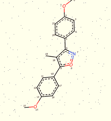 COc1ccc(-c2noc(-c3ccc(OC)cc3)c2C)cc1